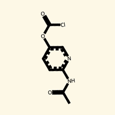 CC(=O)Nc1ccc(OC(=O)Cl)cn1